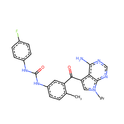 Cc1ccc(NC(=O)Nc2ccc(F)cc2)cc1C(=O)c1cn(C(C)C)c2ncnc(N)c12